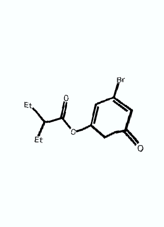 CCC(CC)C(=O)OC1=CC(Br)=CC(=O)C1